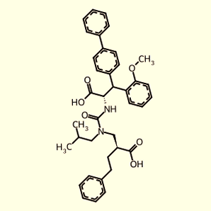 COc1ccccc1C(c1ccc(-c2ccccc2)cc1)[C@H](NC(=O)N(CC(C)C)C[C@H](CCc1ccccc1)C(=O)O)C(=O)O